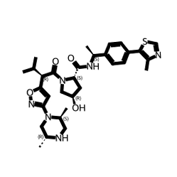 Cc1ncsc1-c1ccc([C@H](C)NC(=O)[C@@H]2C[C@@H](O)CN2C(=O)[C@@H](c2cc(N3C[C@@H](C)NC[C@@H]3C)no2)C(C)C)cc1